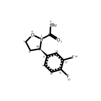 CC(C)(C)C(=O)N1OCC[C@@H]1c1ccc(F)c(F)c1